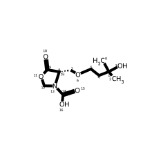 CC(C)(O)CCOC[C@H]1C(=O)OCN1C(=O)O